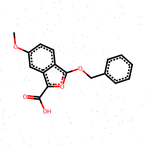 COc1ccc2c(OCc3ccccc3)oc(C(=O)O)c2c1